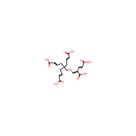 O=C(O)C=CCC(CC=CC(=O)O)(CC=CC(=O)O)COC=C(C=CC(=O)O)C(=O)O